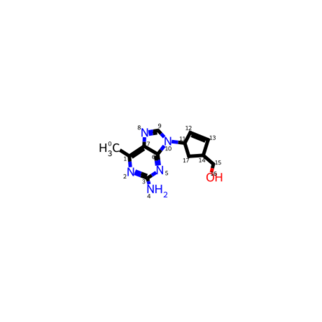 Cc1nc(N)nc2c1ncn2C1C=CC(CO)C1